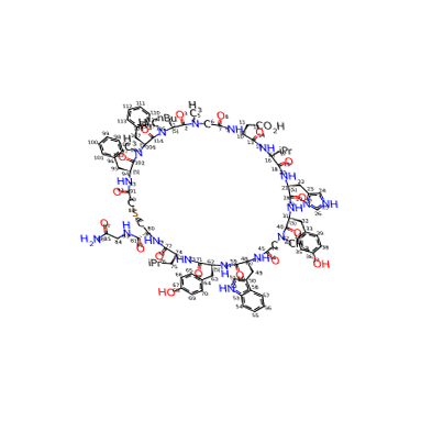 CCCC[C@H]1C(=O)N(C)CC(=O)N[C@@H](CC(=O)O)C(=O)N[C@@H](C(C)C)C(=O)N[C@@H](Cc2c[nH]cn2)C(=O)N[C@@H](Cc2ccc(O)cc2)C(=O)N(C)CC(=O)N[C@@H](Cc2c[nH]c3ccccc23)C(=O)N[C@@H](Cc2ccc(O)cc2)C(=O)N[C@@H](CC(C)C)C(=O)N[C@H](C(=O)NCC(N)=O)CSCC(=O)N[C@@H](Cc2ccccc2)C(=O)N(C)[C@@H](Cc2ccccc2)C(=O)N1C